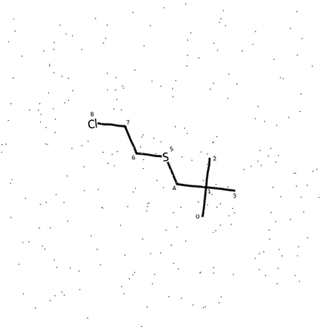 CC(C)(C)CSCCCl